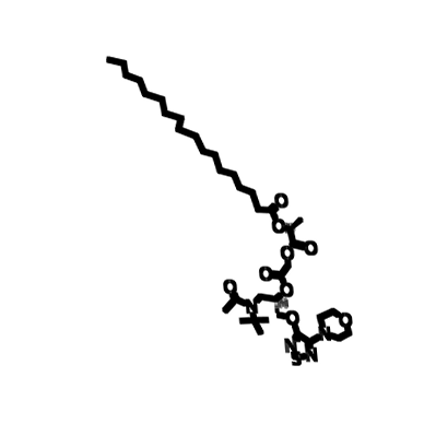 CCCCCCCCCCCCCCCCCC(=O)O[C@@H](C)C(=O)OCC(=O)O[C@H](COc1nsnc1N1CCOCC1)CN(C(C)=O)C(C)(C)C